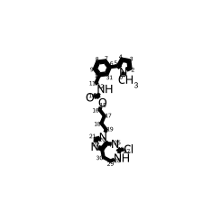 Cn1cccc1-c1cccc(CNC(=O)OCCCCn2cnc3c2N=C(Cl)NCC3)c1